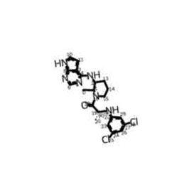 CC1C(Nc2ncnc3[nH]ccc23)CCCN1C(=O)[C@@H](C)Nc1cc(Cl)cc(Cl)c1